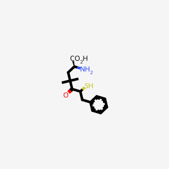 CC(C)(C[C@H](N)C(=O)O)C(=O)C(S)Cc1ccccc1